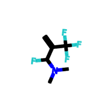 C=C(C(F)N(C)C)C(F)(F)F